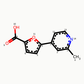 Cc1cc(-c2ccc(C(=O)O)o2)ccn1